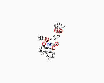 CC(C)(C)OC(=O)N1[C@H](CCCCB2OC(C)(C)C(C)(C)O2)C(=O)O[C@@H](c2ccccc2)[C@H]1c1ccccc1